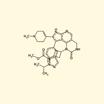 COC(=O)NC1CC(N2C(=O)NCc3cnc4[nH]c(C5=CCN(C)CC5)c(-c5ccc6c(cnn6C(C)C)c5)c4c32)C1